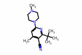 Cc1cc(N2CCN(C)CC2)nc(C(C)(C)C)c1C#N